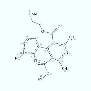 COCCOC(=O)c1c(C)nc(C)c(C(=O)OC(C)C)c1-c1cccc(C#N)c1Cl